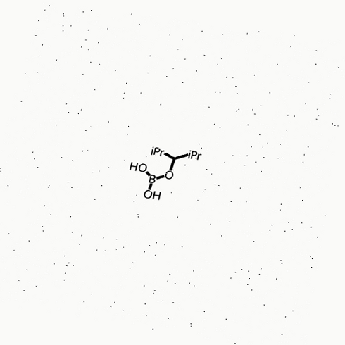 CC(C)C(OB(O)O)C(C)C